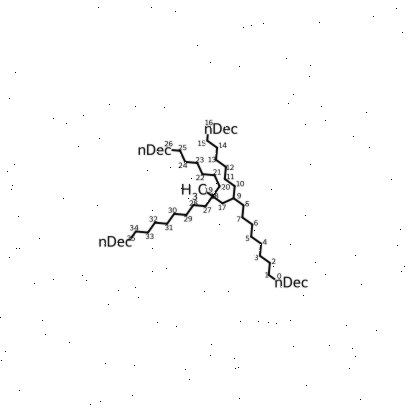 CCCCCCCCCCCCCCCCCCC(CCCCCCCCCCCCCCCC)CC(C)(CCCCCCCCCCCCCCCC)CCCCCCCCCCCCCCCCCC